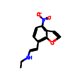 CCNC=Cc1ccc([N+](=O)[O-])c2ccoc12